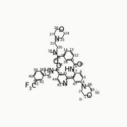 C[C@@H]1CN(c2ccc(NC(=O)c3cccc(C(=O)N(C)CCN4CCOCC4)c3)c(-c3cc(C(=O)NCc4cccc(C(F)(F)F)c4)ccn3)c2)C[C@H](C)O1